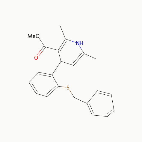 COC(=O)C1=C(C)NC(C)=CC1c1ccccc1SCc1ccccc1